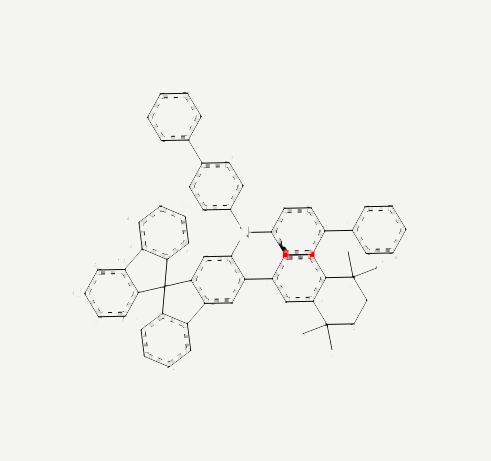 Cc1cc2c(cc1-c1cc3c(cc1N(c1ccc(-c4ccccc4)cc1)c1ccc(-c4ccccc4)cc1)C1(c4ccccc4-c4ccccc41)c1ccccc1-3)C(C)(C)CCC2(C)C